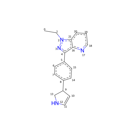 CCn1nc(-c2ccc(C3C=CNC3)cc2)c2ncccc21